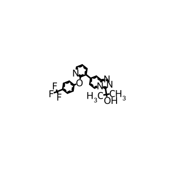 CC(C)(O)c1nnc2cc(-c3cccnc3Oc3ccc(C(F)(F)F)cc3)ccn12